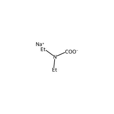 CCN(CC)C(=O)[O-].[Na+]